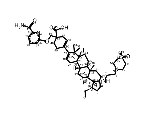 CC[C@@H]1CC[C@]2(NCCN3CCS(=O)(=O)CC3)CC[C@]3(C)[C@H](CC[C@@H]4[C@@]5(C)CC=C(C6=CCC(COc7cccc(C(N)=O)n7)(C(=O)O)CC6)C(C)(C)[C@@H]5CC[C@]43C)[C@@H]12